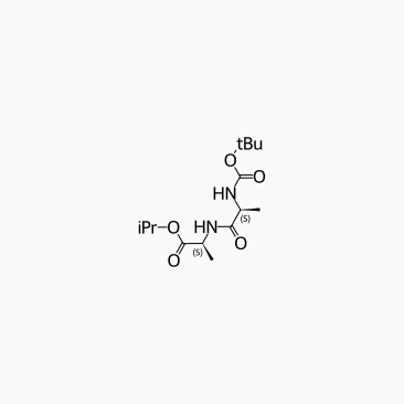 CC(C)OC(=O)[C@H](C)NC(=O)[C@H](C)NC(=O)OC(C)(C)C